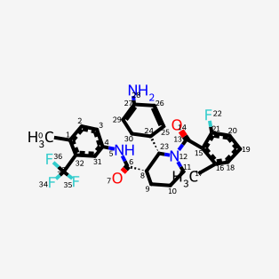 Cc1ccc(NC(=O)[C@H]2CCCN(C(=O)c3c(C)cccc3F)[C@H]2C2C=CC(N)=CC2)cc1C(F)(F)F